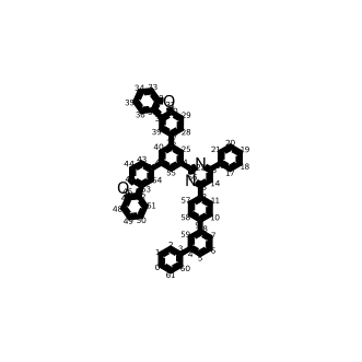 c1ccc(-c2cccc(-c3ccc(-c4cc(-c5ccccc5)nc(-c5cc(-c6ccc7oc8ccccc8c7c6)cc(-c6ccc7oc8ccccc8c7c6)c5)n4)cc3)c2)cc1